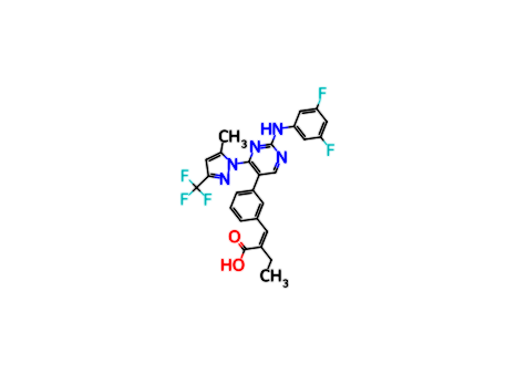 CCC(=Cc1cccc(-c2cnc(Nc3cc(F)cc(F)c3)nc2-n2nc(C(F)(F)F)cc2C)c1)C(=O)O